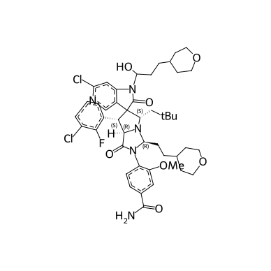 COc1cc(C(N)=O)ccc1N1C(=O)[C@H]2[C@H](c3cccc(Cl)c3F)C3(C(=O)N(C(O)CCC4CCOCC4)c4cc(Cl)ncc43)[C@H](CC(C)(C)C)N2[C@H]1CCC1CCOCC1